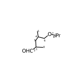 CC(C=O)CC(C)COC(C)C